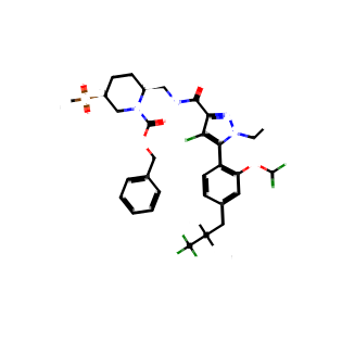 CCn1nc(C(=O)NC[C@@H]2CC[C@H](S(C)(=O)=O)CN2C(=O)OCc2ccccc2)c(Cl)c1-c1ccc(CC(C)(C)C(F)(F)F)cc1OC(F)F